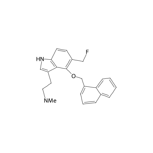 CNCCc1c[nH]c2ccc(CF)c(OCc3cccc4ccccc34)c12